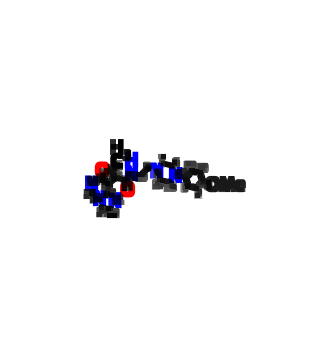 COc1ccc(N2CCN(CCNC(=O)c3c(C)oc4c3C3=NCCN3C=N4)CC2)cc1